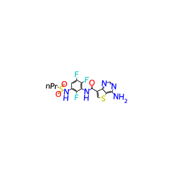 CCCS(=O)(=O)Nc1cc(F)c(F)c(NC(=O)c2csc3c(N)ncnc23)c1F